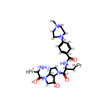 CCCC(N)C(=O)N1CC(=O)C2C1CCN2C(=O)C(CC(C)C)NC(=O)c1ccc(N2CCN(C)CC2)cc1